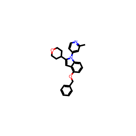 Cc1cc(-n2c(C3CCOCC3)cc3c(OCc4ccccc4)cccc32)ccn1